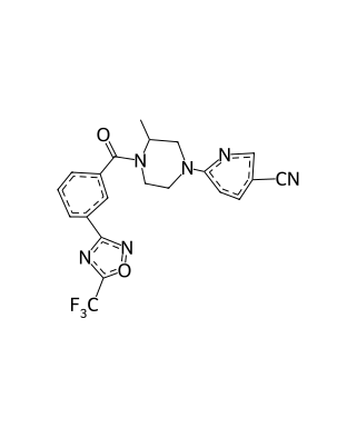 CC1CN(c2ccc(C#N)cn2)CCN1C(=O)c1cccc(-c2noc(C(F)(F)F)n2)c1